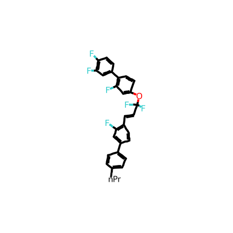 CCCc1ccc(-c2ccc(/C=C/C(F)(F)Oc3ccc(-c4ccc(F)c(F)c4)c(F)c3)c(F)c2)cc1